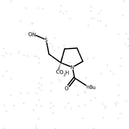 CCCCC(=O)N1CCC[C@@]1(CSN=O)C(=O)O